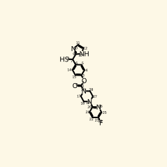 O=C(Oc1ccc(C(S)c2ncc[nH]2)cc1)N1CCN(c2ccc(F)cn2)CC1